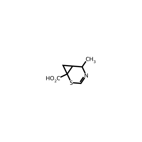 CC1N=CSC2(C(=O)O)CC12